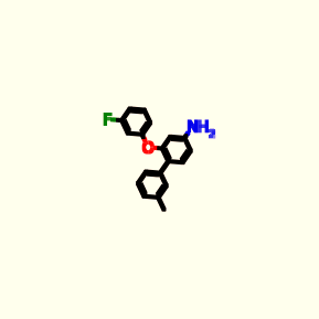 Cc1cccc(-c2ccc(N)cc2Oc2cccc(F)c2)c1